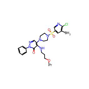 Bc1cc(S(=O)(=O)N2CCN(c3cnn(-c4ccccc4)c(=O)c3NCCCOC(C)C)CC2)cnc1Cl